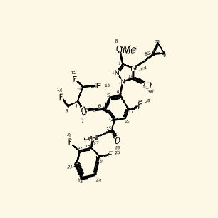 COc1nn(-c2cc(O[C@@H](CF)C(F)F)c(C(=O)Nc3c(F)cccc3F)cc2F)c(=O)n1C1CC1